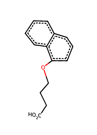 O=C(O)CCCOc1cccc2ccccc12